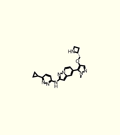 Cn1ncc(OC[C@H]2CCN2)c1-c1ccn2nc(Nc3ccc(C4CC4)nn3)cc2c1